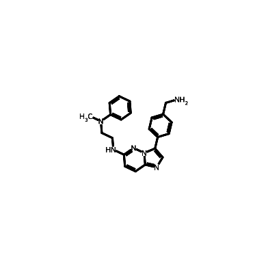 CN(CCNc1ccc2ncc(-c3ccc(CN)cc3)n2n1)c1ccccc1